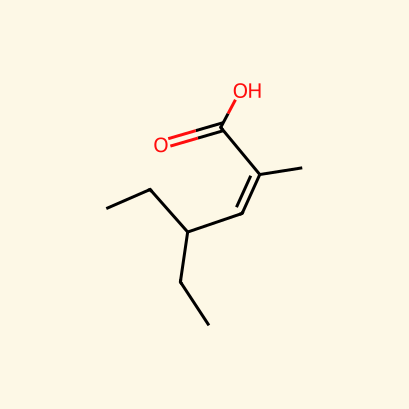 CCC(C=C(C)C(=O)O)CC